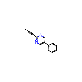 CC#Cc1ncc(-c2ccccc2)cn1